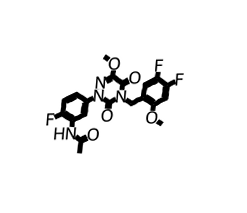 COc1cc(F)c(F)cc1Cn1c(=O)c(OC)nn(-c2ccc(F)c(NC(C)=O)c2)c1=O